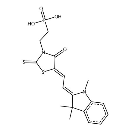 CN1C(=CC=C2SC(=S)N(CCP(=O)(O)O)C2=O)C(C)(C)c2ccccc21